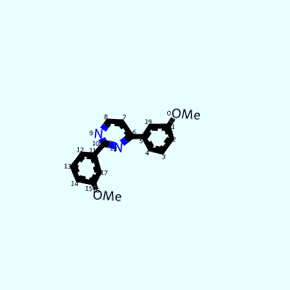 COc1cccc(-c2ccnc(-c3cccc(OC)c3)n2)c1